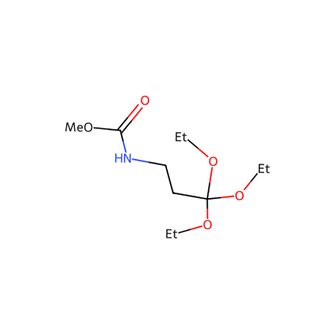 CCOC(CCNC(=O)OC)(OCC)OCC